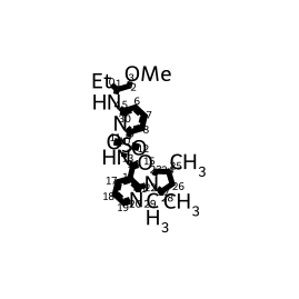 CCC(COC)Nc1cccc(S(=O)(=O)NC(=O)c2cccnc2N2CC(C)CC2(C)C)n1